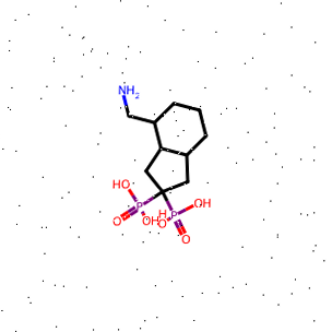 NCC1CCCC2CC(P(=O)(O)O)(P(=O)(O)O)CC12